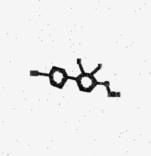 CCCCCCCCOc1ccc(-c2ccc(O)cc2)c(F)c1F